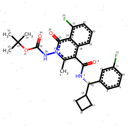 Cc1c(C(=O)N[C@H](c2cccc(F)c2)C2CCC2)c2cccc(F)c2c(=O)n1NC(=O)OC(C)(C)C